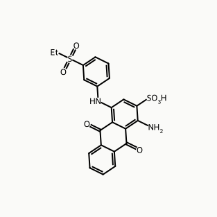 CCS(=O)(=O)c1cccc(Nc2cc(S(=O)(=O)O)c(N)c3c2C(=O)c2ccccc2C3=O)c1